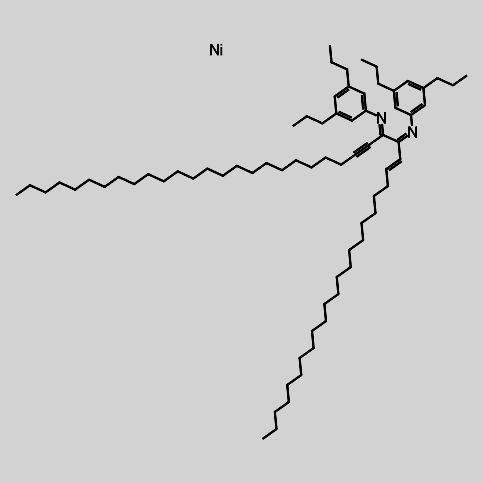 CCCCCCCCCCCCCCCCCCCCC=CC(=Nc1cc(CCC)cc(CCC)c1)C(C#CCCCCCCCCCCCCCCCCCCCCCCC)=Nc1cc(CCC)cc(CCC)c1.[Ni]